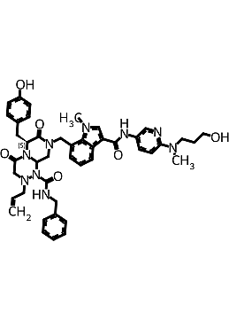 C=CCN1CC(=O)N2C(CN(Cc3cccc4c(C(=O)Nc5ccc(N(C)CCCO)nc5)cn(C)c34)C(=O)[C@@H]2Cc2ccc(O)cc2)N1C(=O)NCc1ccccc1